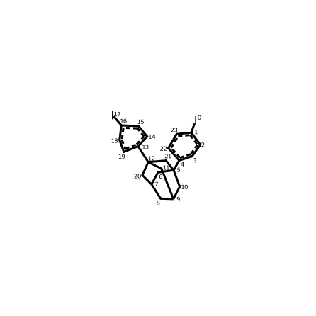 Ic1ccc(C23CC4CC(C2)CC(c2ccc(I)cc2)(C4)C3)cc1